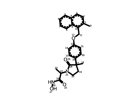 Cc1ccc2ccccc2c1COc1ccc(C2(C)CCN(C(C)C(=O)NO)C2=O)cc1